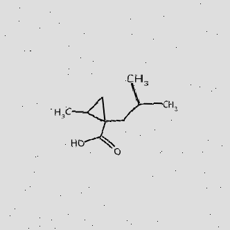 CC(C)CC1(C(=O)O)CC1C